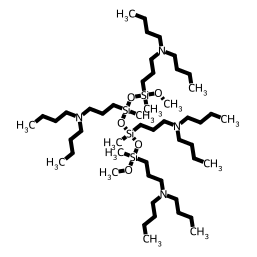 CCCCN(CCCC)CCC[Si](C)(OC)O[Si](C)(CCCN(CCCC)CCCC)O[Si](C)(CCCN(CCCC)CCCC)O[Si](C)(CCCN(CCCC)CCCC)OC